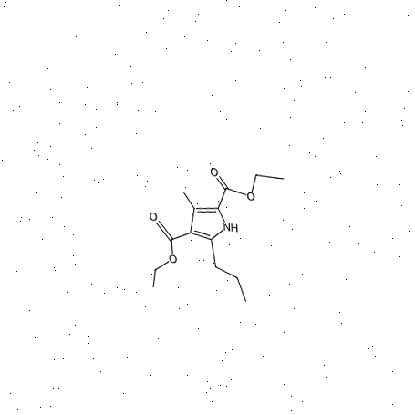 CCCc1[nH]c(C(=O)OCC)c(C)c1C(=O)OCC